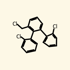 ClCc1cccc(-c2ccccc2Cl)c1-c1ccccc1Cl